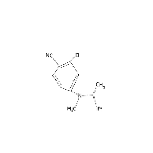 CC(C)C(C)N(C)c1ccc(C#N)c(Cl)c1